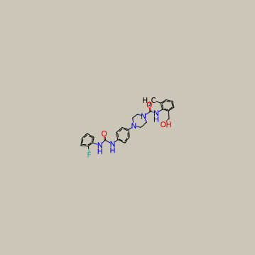 Cc1cccc(CO)c1NC(=O)N1CCN(c2ccc(NC(=O)Nc3ccccc3F)cc2)CC1